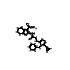 NC(=O)c1c(NC(=O)CSc2nnc(C3CC3)n2Cc2ccccc2)sc2c1CCCC2